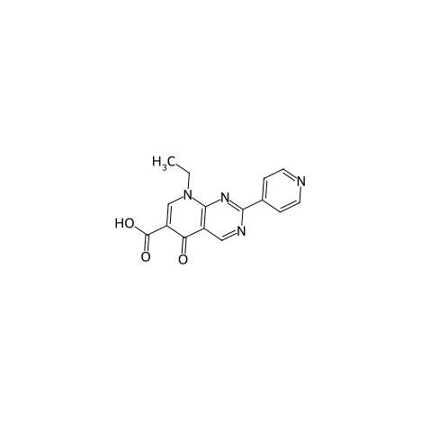 CCn1cc(C(=O)O)c(=O)c2cnc(-c3ccncc3)nc21